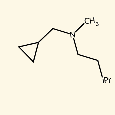 CC(C)CCN(C)CC1CC1